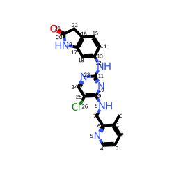 Cc1cccnc1CNc1nc(Nc2ccc3c(c2)NC(=O)C3)ncc1Cl